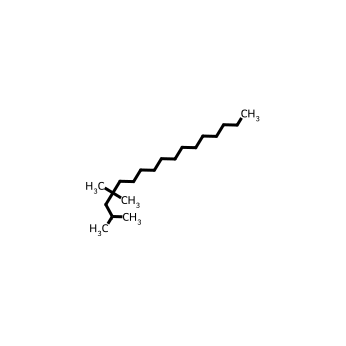 CCCCCCCCCCCCCC(C)(C)C[C](C)C